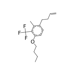 C=CCCc1ccc(OCCCC)c(C(F)(F)F)c1C